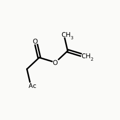 C=C(C)OC(=O)CC(C)=O